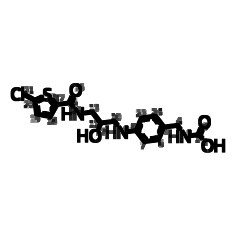 O=C(O)NCc1ccc(NCC(O)CNC(=O)c2ccc(Cl)s2)cc1